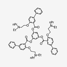 CCCN(CC)CCOc1ccc(-c2ccccc2)cc1C(=O)Oc1cc(OC(=O)c2cc(-c3ccccc3)ccc2OCCN(CC)CCC)cc(OC(=O)c2cc(-c3ccccc3)ccc2OCCN(CC)CCC)c1